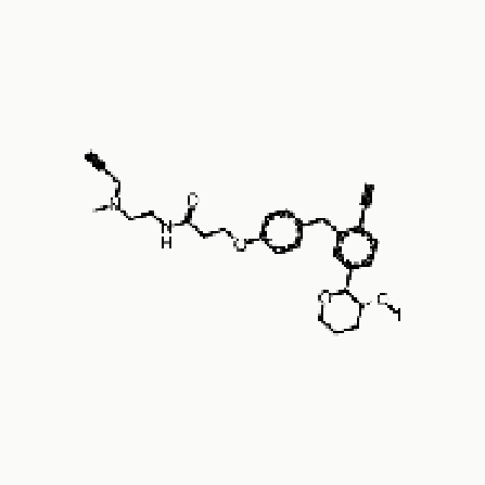 C#CCN(C)CCNC(=O)CCOc1ccc(Cc2cc([C@@H]3OCCC[C@H]3OI)ccc2C#C)cc1